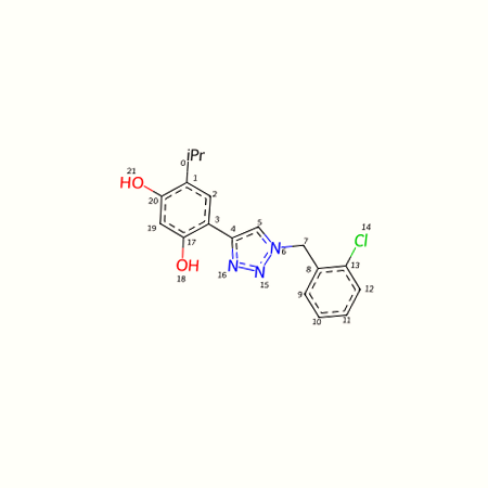 CC(C)c1cc(-c2cn(Cc3ccccc3Cl)nn2)c(O)cc1O